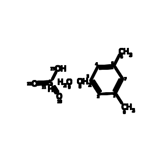 Cc1cccc(C)c1.O.O.O=[SH](=O)O